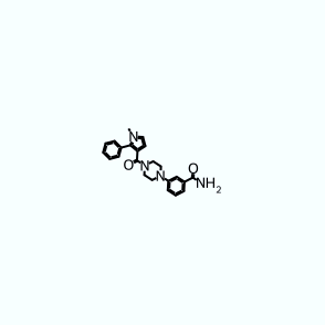 Cn1ccc(C(=O)N2CCN(c3cccc(C(N)=O)c3)CC2)c1-c1ccccc1